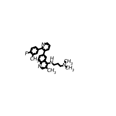 Cc1cc(-c2ncccc2-c2ccc3ncc(C)c(NCCCN(C)C)c3c2)ccc1F